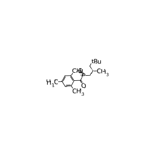 Cc1cc(C)c(C(=O)[P](=O)CC(C)CC(C)(C)C)c(C)c1